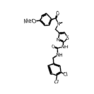 COc1ccc(C(=O)N(C)Cc2csc(NC(=O)NCc3ccc(Cl)c(Cl)c3)n2)cc1